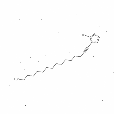 CCCCCCCCCCCCCCC#Cc1ccsc1Br